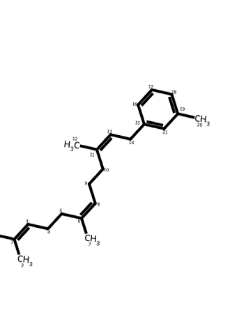 CC(C)=CCCC(C)=CCCC(C)=CCc1[c]ccc(C)c1